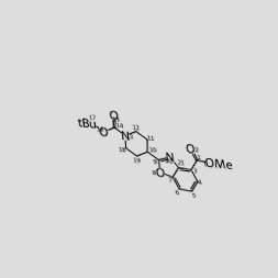 COC(=O)c1cccc2oc(C3CCN(C(=O)OC(C)(C)C)CC3)nc12